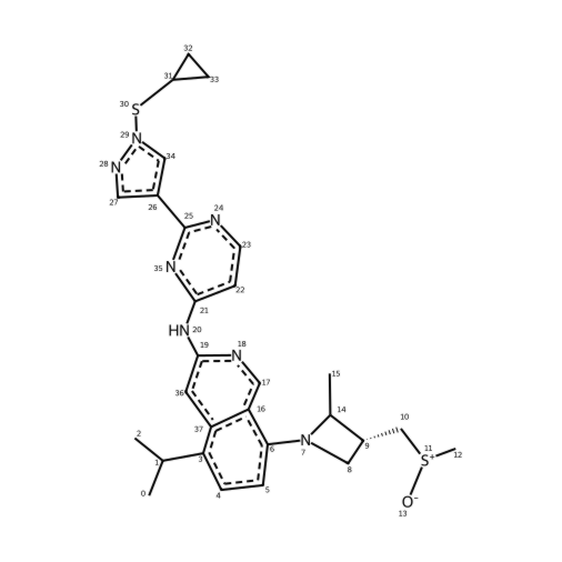 CC(C)c1ccc(N2C[C@@H](C[S+](C)[O-])C2C)c2cnc(Nc3ccnc(-c4cnn(SC5CC5)c4)n3)cc12